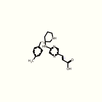 Cc1ccc(C[C@]2(Nc3cnc(/C=C/C(=O)O)cn3)CCCNC2)cc1